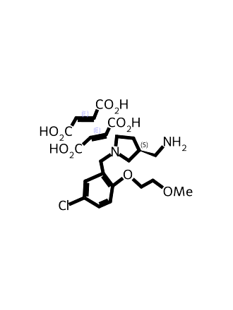 COCCOc1ccc(Cl)cc1CN1CC[C@@H](CN)C1.O=C(O)/C=C/C(=O)O.O=C(O)/C=C/C(=O)O